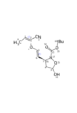 C/C=C(/C#N)O/C=C/[C@@H]1CC(O)ON1C(=O)OC(C)(C)C